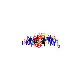 Nc1nc2c(ncn2[C@@H]2S[C@@H]3COP(=O)(O)O[C@H]4[C@H](F)[C@H](n5cnc6c(=O)[nH]cnc65)O[C@@H]4COP(=O)(S)O[C@@H]2[C@@H]3O)c(=O)[nH]1